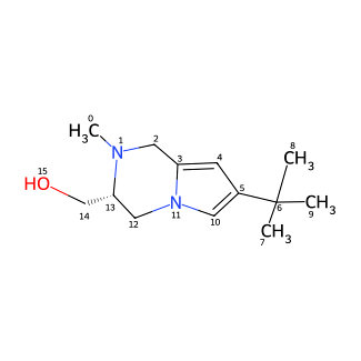 CN1Cc2cc(C(C)(C)C)cn2C[C@@H]1CO